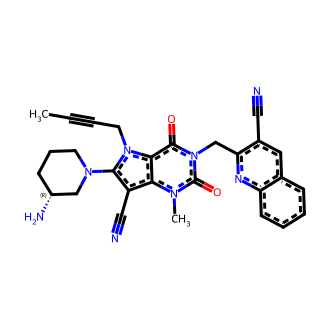 CC#CCn1c(N2CCC[C@@H](N)C2)c(C#N)c2c1c(=O)n(Cc1nc3ccccc3cc1C#N)c(=O)n2C